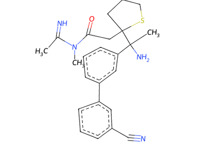 CC(=N)N(C)C(=O)CC1(C(C)(N)c2cccc(-c3cccc(C#N)c3)c2)CCCS1